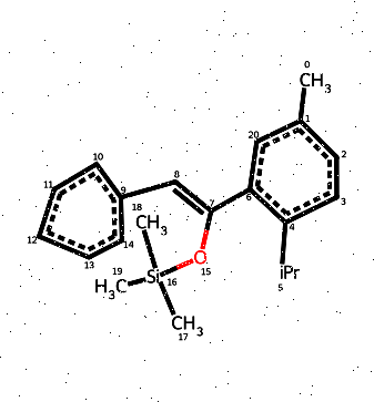 Cc1ccc(C(C)C)c(C(=Cc2ccccc2)O[Si](C)(C)C)c1